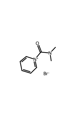 CN(C)C(=O)[n+]1ccccc1.[Br-]